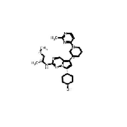 COC[C@H](C)Nc1ncc2c([C@@H]3CCCN(c4ccnc(C)n4)C3)cc([C@H]3CC[C@H](O)CC3)n2n1